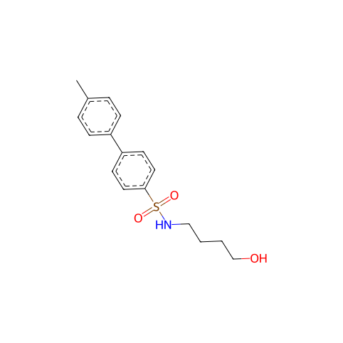 Cc1ccc(-c2ccc(S(=O)(=O)NCCCCO)cc2)cc1